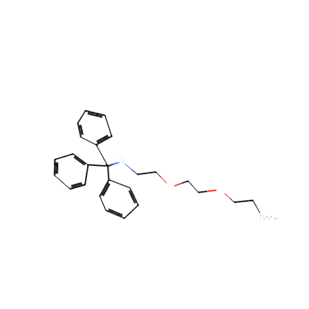 CNCCOCCOCCNC(c1ccccc1)(c1ccccc1)c1ccccc1